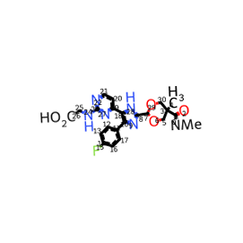 CNC(=O)C1(C)COC(c2nc(-c3ccc(F)cc3)c(-c3ccnc(NCC(=O)O)n3)[nH]2)OC1